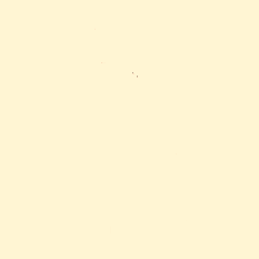 Cc1cccc(C)c1Oc1cn(C2COC2)c(=O)cc1Br